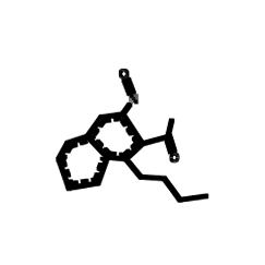 CCCCc1c(C(C)=O)c(N=O)cc2ccccc12